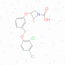 CC1C(Oc2cccc(COc3ccc(Cl)cc3Cl)c2)CN1C(=O)O